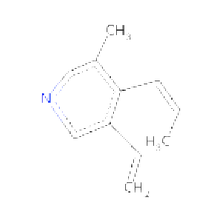 C=Cc1cncc(C)c1/C=C\C